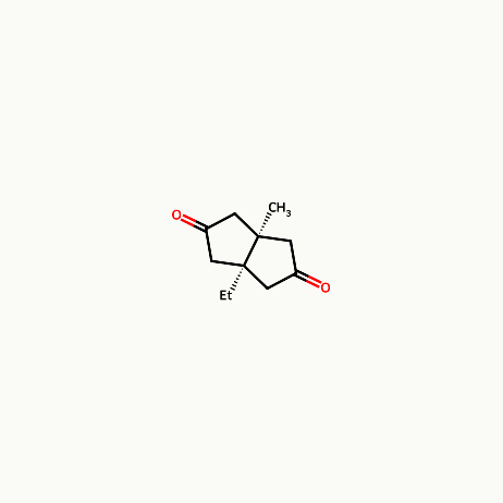 CC[C@]12CC(=O)C[C@@]1(C)CC(=O)C2